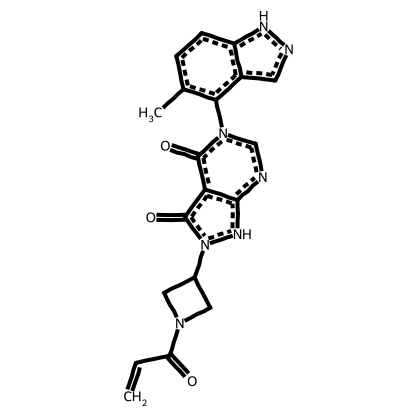 C=CC(=O)N1CC(n2[nH]c3ncn(-c4c(C)ccc5[nH]ncc45)c(=O)c3c2=O)C1